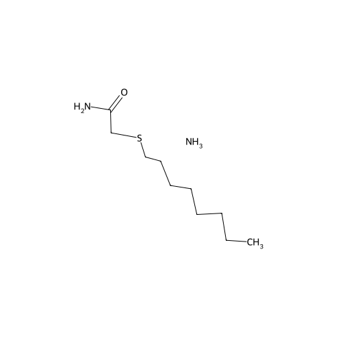 CCCCCCCCSCC(N)=O.N